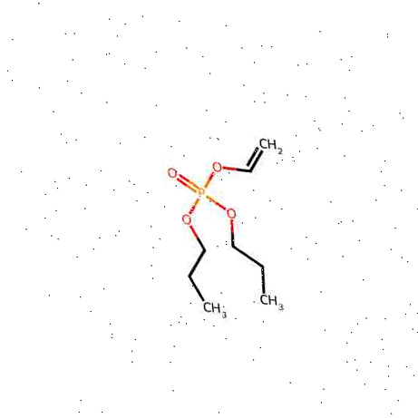 C=COP(=O)(OCCC)OCCC